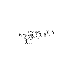 CNc1c(N)nc2ccccc2c1NCc1ccc(CNC(=O)CC2CC2)cc1